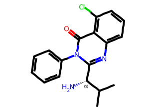 CC(C)[C@H](N)c1nc2cccc(Cl)c2c(=O)n1-c1ccccc1